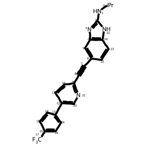 CC(C)Nc1nc2cc(C#Cc3ccc(-c4ccc(C(F)(F)F)cc4)cn3)ccc2[nH]1